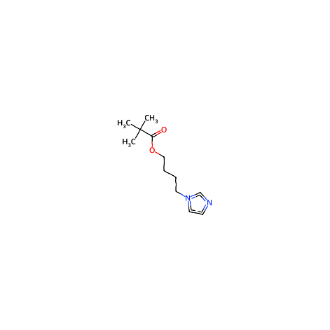 CC(C)(C)C(=O)OCCCCn1ccnc1